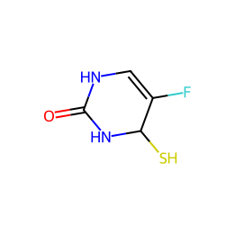 O=C1NC=C(F)C(S)N1